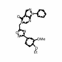 CCOc1ccc(-c2noc(Cn3cnc4c(cnn4-c4ccccc4)c3=O)n2)cc1OC